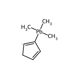 [CH3][Pb]([CH3])([CH3])[C]1=[C]CC=C1